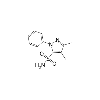 Cc1nn(-c2ccccc2)c(S(N)(=O)=O)c1C